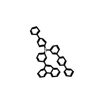 c1ccc(-c2ccc(-c3cccc(N(c4ccc(-c5ccccc5)cc4)c4cccc(-c5cc6ccccc6c6ccccc56)c4)c3)cc2)cc1